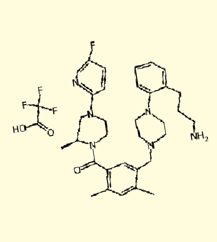 Cc1cc(C)c(C(=O)N2CCN(c3ccc(F)cn3)C[C@@H]2C)cc1CN1CCN(c2ccccc2CCCN)CC1.O=C(O)C(F)(F)F